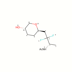 CC(=O)N[C@@H](C)C(F)(F)C[C@H]1CC[C@H](O)CO1